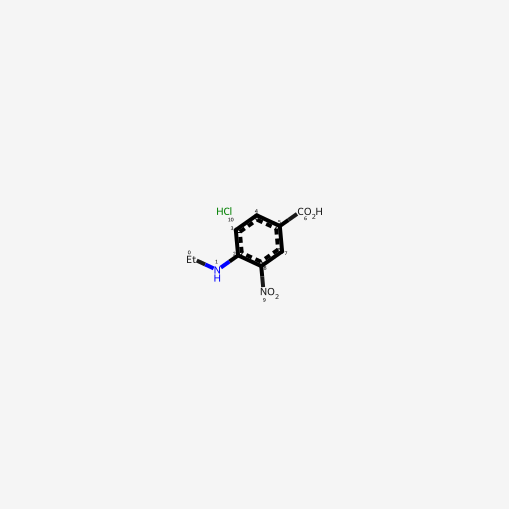 CCNc1ccc(C(=O)O)cc1[N+](=O)[O-].Cl